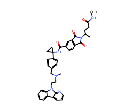 CC(CCC(=O)NC=O)N1C(=O)c2ccc(C(=O)NC3(c4ccc(CN(C)CCn5c6ccccc6c6cccnc65)cc4)CC3)cc2C1=O